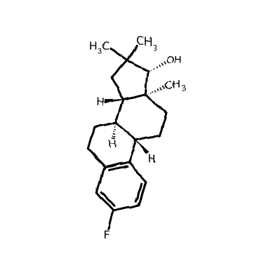 CC1(C)C[C@H]2[C@@H]3CCc4cc(F)ccc4[C@H]3CC[C@]2(C)[C@H]1O